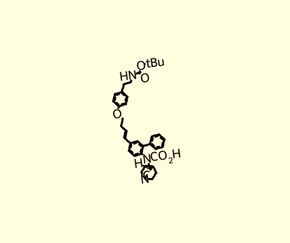 CC(C)(C)OC(=O)NCCc1ccc(OCC/C=C/c2ccc(N(C(=O)O)[C@H]3CN4CCC3CC4)c(-c3ccccc3)c2)cc1